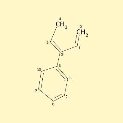 C=CC(=CC)c1c[c]ccc1